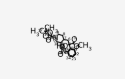 COC(=O)C(O)(CC1CCN(C(=O)OC(C)(C)C)CC1)c1ccccc1[N+](=O)[O-]